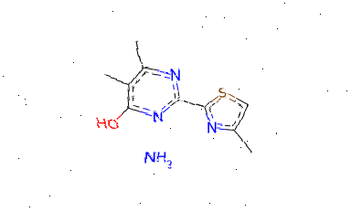 Cc1csc(-c2nc(C)c(C)c(O)n2)n1.N